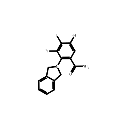 [2H]c1cc(C(N)=O)c(N2Cc3ccccc3C2)c([2H])c1I